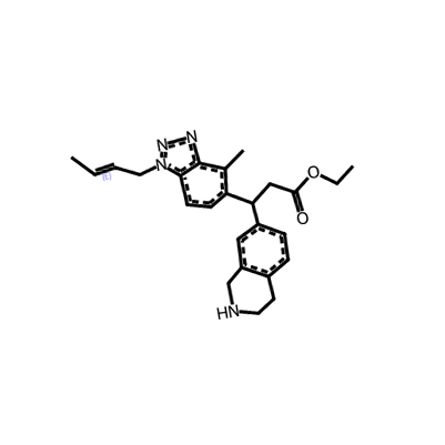 C/C=C/Cn1nnc2c(C)c(C(CC(=O)OCC)c3ccc4c(c3)CNCC4)ccc21